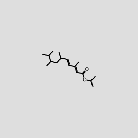 CC(/C=C/C(C)CC(C)C(C)C)=C\C(=O)OC(C)C